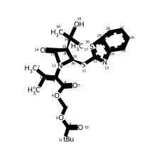 CC(C)=C(C(=O)OCOC(=O)C(C)(C)C)N1C(=O)[C@@H](C(C)(C)O)[C@H]1Sc1nc2ccccc2s1